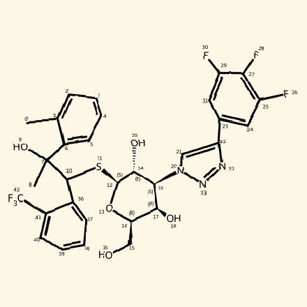 Cc1ccccc1C(C)(O)C(S[C@@H]1O[C@H](CO)[C@H](O)[C@H](n2cc(-c3cc(F)c(F)c(F)c3)nn2)[C@H]1O)c1ccccc1C(F)(F)F